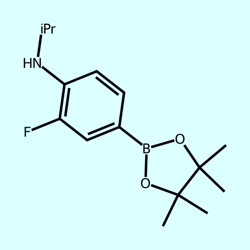 CC(C)Nc1ccc(B2OC(C)(C)C(C)(C)O2)cc1F